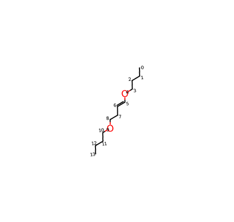 CCCCOC=CCCOCCCC